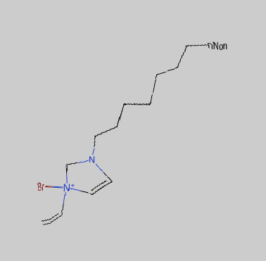 C=C[N+]1(Br)C=CN(CCCCCCCCCCCCCCCC)C1